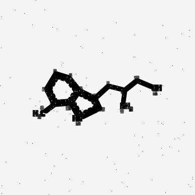 Cc1cccc2c(CC(N)CO)c[nH]c12